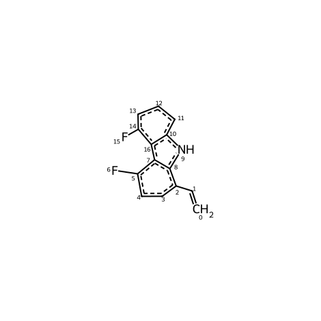 C=Cc1ccc(F)c2c1[nH]c1cccc(F)c12